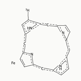 [2H]c1cc2cc3nc(cc4ccc(cc5nc(cc1[nH]2)C=C5)[nH]4)C=C3.[Fe]